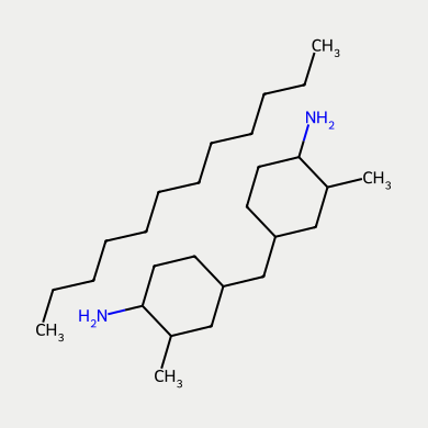 CC1CC(CC2CCC(N)C(C)C2)CCC1N.CCCCCCCCCCCC